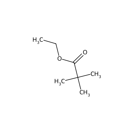 CCOC(=O)C(C)(C)C